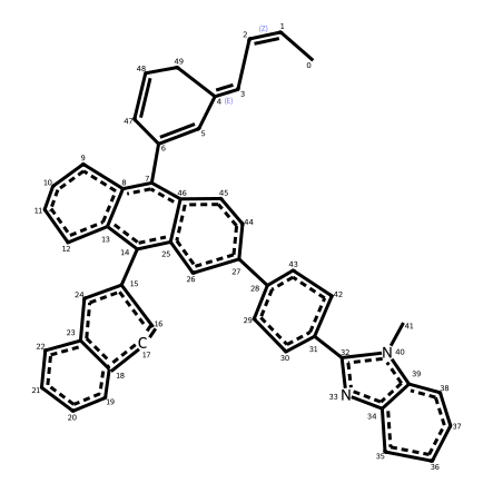 C/C=C\C=C1\C=C(c2c3ccccc3c(-c3ccc4ccccc4c3)c3cc(-c4ccc(-c5nc6ccccc6n5C)cc4)ccc23)C=CC1